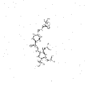 CC(C)Oc1cc(OC(C)C)c(C(C)(C)C)cc1/C=C/C(=O)c1ccc(OCOC(=O)C(C)(C)C)cc1